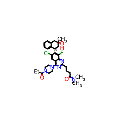 CCC(=O)N1CCN(c2nc(CCCC(=O)N(C)C)nc3c(F)c([C@H]4CC(C)(O)Cc5ccccc54)c(Cl)cc23)CC1